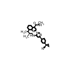 CNC(=O)c1ccnc2c(C(C)[C@H](C)CNc3cc(-c4ccc(C5(C#N)CC5)cc4)ncn3)cccc12